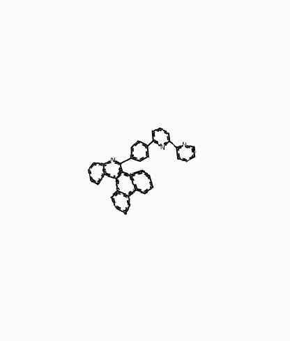 c1ccc(-c2cccc(-c3ccc(-c4nc5ccccc5c5c6ccccc6c6ccccc6c45)cc3)n2)nc1